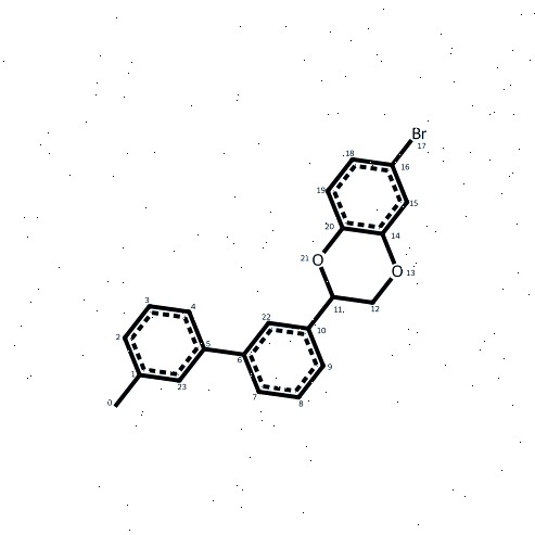 Cc1cccc(-c2cccc(C3COc4cc(Br)ccc4O3)c2)c1